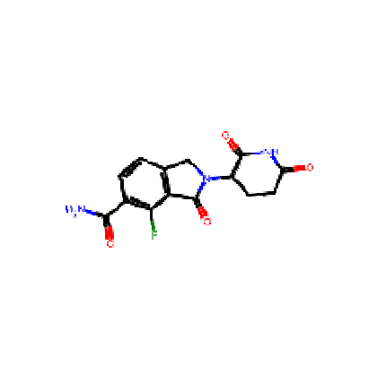 NC(=O)c1ccc2c(c1F)C(=O)N(C1CCC(=O)NC1=O)C2